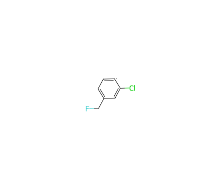 FCc1cc[c]c(Cl)c1